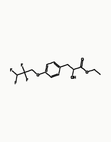 CCOC(=O)C(O)Cc1ccc(OCC(F)(F)C(F)F)cc1